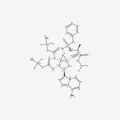 CC(C)OC(=O)[C@H](C)N[P@@](=O)(Oc1ccccc1)O[C@H]1[C@]2(OC(=O)CC(C)(C)O)[C@@H](OC(=O)CC(C)(C)O)[C@H](c3ccc4c(N)ncnn34)O[C@]12C#N